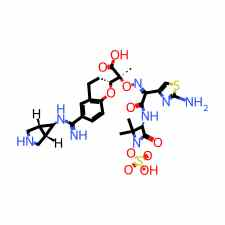 CC1(C)[C@H](NC(=O)/C(=N\O[C@](C)(C(=O)O)[C@H]2CCc3cc(C(=N)N[C@H]4[C@@H]5CNC[C@@H]54)ccc3O2)c2csc(N)n2)C(=O)N1OS(=O)(=O)O